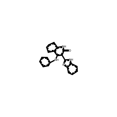 O=c1[nH]c2ccccc2c(Nc2ccccc2)c1-c1nc2ccccc2[nH]1